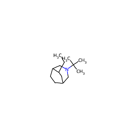 CCC1CC2CCC1CN(C(C)(C)C)C2